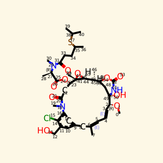 CO[C@@H]1/C=C/C=C(\C)Cc2cc(CO)c(Cl)c(c2)N(C)C(=O)C[C@H](OC(=O)[C@@H](C)N(C)C(=O)CCC(C)SC(C)C)[C@]2(C)O[C@H]2[C@H](C)[C@@H]2C[C@@]1(O)NC(=O)O2